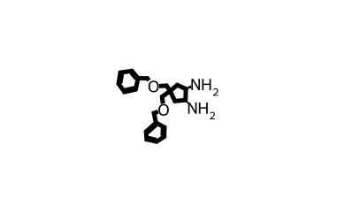 N[C@@H]1CC(COCc2ccccc2)(COCc2ccccc2)C[C@H]1N